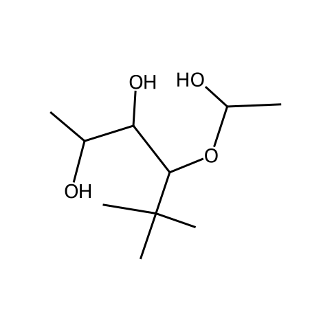 CC(O)OC(C(O)C(C)O)C(C)(C)C